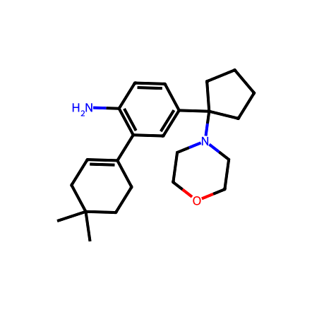 CC1(C)CC=C(c2cc(C3(N4CCOCC4)CCCC3)ccc2N)CC1